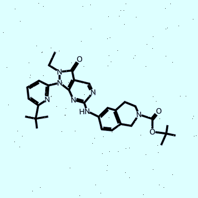 CCn1c(=O)c2cnc(Nc3ccc4c(c3)CCN(C(=O)OC(C)(C)C)C4)nc2n1-c1cccc(C(C)(C)C)n1